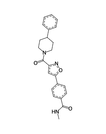 CNC(=O)c1ccc(-c2cc(C(=O)N3CCC(c4ccccc4)CC3)no2)cc1